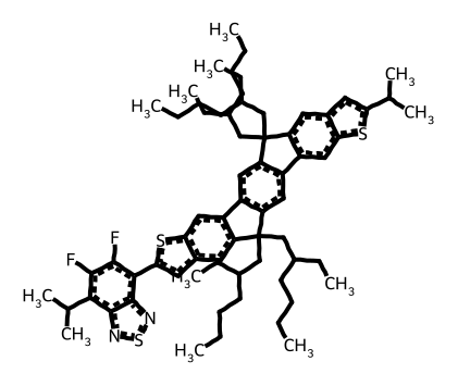 CCCCC(CC)CC1(CC(CC)CCCC)c2cc3c(cc2-c2cc4sc(-c5c(F)c(F)c(C(C)C)c6nsnc56)cc4cc21)C(CC(CC)CCCC)(CC(CC)CCCC)c1cc2cc(C(C)C)sc2cc1-3